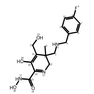 CC1(CNCc2ccc(F)cc2)CN=C(C(=O)NO)C(O)=C1CO